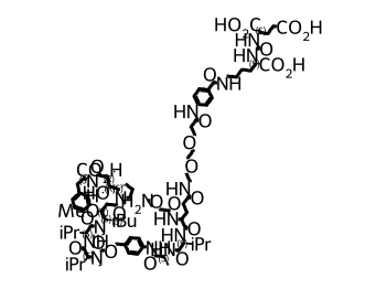 CC[C@H](C)[C@@H]([C@@H](CC(=O)N1CCC[C@H]1[C@H](O)[C@@H](C)C(=O)N[C@@H](Cc1ccccc1)C(=O)O)OC)N(C)C(=O)[C@@H](NC(=O)[C@H](C(C)C)N(C)C(=O)OCc1ccc(NC(=O)[C@H](C)NC(=O)[C@@H](NC(=O)C(CCC(=O)NCCOCCOCCC(=O)Nc2ccc(C(=O)NCCCC[C@H](NC(=O)N[C@@H](CCC(=O)O)C(=O)O)C(=O)O)cc2)NC(=O)CON)C(C)C)cc1)C(C)C